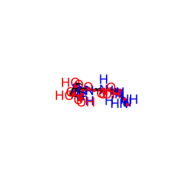 O=C(O)CN1CCN(CCC(=O)NCCCCCC(=O)N[C@@H](CNC(=O)c2ccc3c(cnn3CCCNc3ncc[nH]3)c2)C(=O)O)CCN(CC(=O)O)CCN(CC(=O)O)CC1